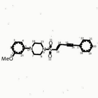 COc1cccc(N2CCN(S(=O)(=O)C=CC#Cc3ccccc3)CC2)c1